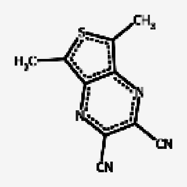 Cc1sc(C)c2nc(C#N)c(C#N)nc12